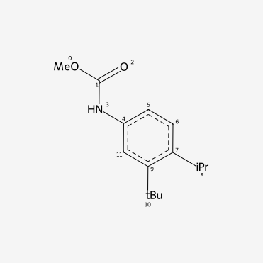 COC(=O)Nc1ccc(C(C)C)c(C(C)(C)C)c1